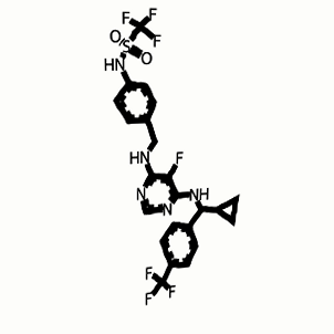 O=S(=O)(Nc1ccc(CNc2ncnc(NC(c3ccc(C(F)(F)F)cc3)C3CC3)c2F)cc1)C(F)(F)F